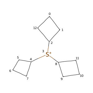 C1CC([S+](C2CCC2)C2CCC2)C1